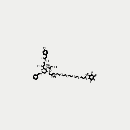 O=C(Cc1ccc(Cl)cc1)NC[C@@H](O)[C@@H](O)[C@@H]1O[C@@H](OCc2ccccc2)C[C@H](OCc2cn(CCOCCOCCOCCOCCC(=O)Oc3c(F)c(F)c(F)c(F)c3F)nn2)[C@H]1NC(=O)CO